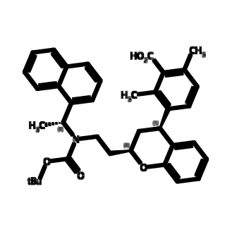 Cc1ccc([C@@H]2C[C@H](CCN(C(=O)OC(C)(C)C)[C@H](C)c3cccc4ccccc34)Oc3ccccc32)c(C)c1C(=O)O